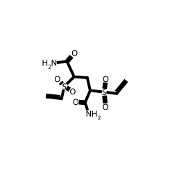 C=CS(=O)(=O)C(CC(C(N)=O)S(=O)(=O)C=C)C(N)=O